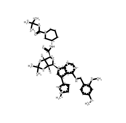 COc1ccc(CNc2ncnc3c2c(-c2ccn(C)n2)cn3[C@@H]2O[C@H](C(=O)N[C@H]3CCCN(C(=O)OC(C)(C)C)C3)[C@H]3OC(C)(C)O[C@H]32)c(OC)c1